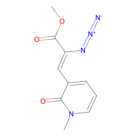 COC(=O)C(=Cc1cccn(C)c1=O)N=[N+]=[N-]